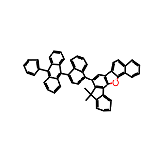 CC1(C)c2ccccc2-c2c1c(-c1ccc(-c3c4ccccc4c(-c4ccccc4)c4ccccc34)c3ccccc13)cc1c2oc2c3ccccc3ccc12